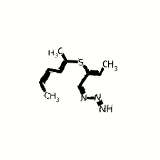 C/C=C\C=C(/C)SC(/C=N\N=N)=C\C